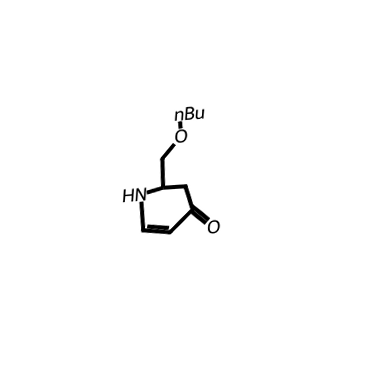 CCCCOCC1CC(=O)C=CN1